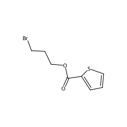 O=C(OCCCBr)c1cccs1